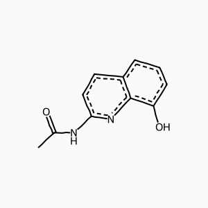 CC(=O)Nc1ccc2cccc(O)c2n1